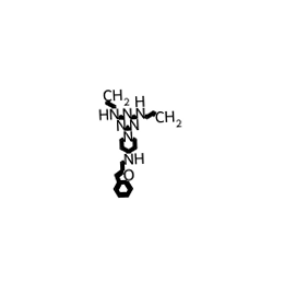 C=CCNc1nc(NCC=C)nc(N2CCC(NCc3cc4ccccc4o3)CC2)n1